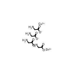 NCC(=O)[O-].NCC(=O)[O-].NCC(=O)[O-].NCC(=O)[O-].[Cu+2].[Zn+2]